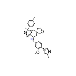 COc1cc(/C=C2\CC3(CCOC3)CN3C2=NOC3(C)c2ccc(C)cc2)ccc1-n1cnc(C)c1